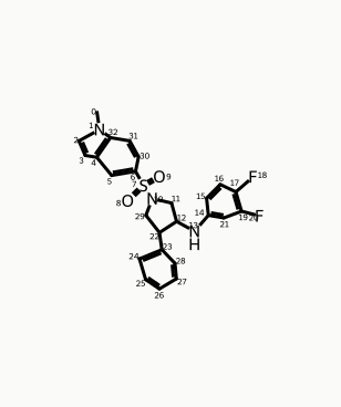 Cn1ccc2cc(S(=O)(=O)N3CC(Nc4ccc(F)c(F)c4)C(c4ccccc4)C3)ccc21